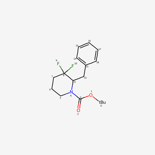 CC(C)(C)OC(=O)N1CCCC(F)(F)C1Cc1ccccc1